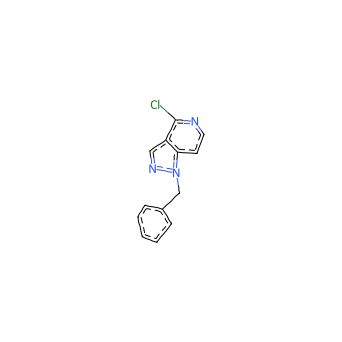 Clc1nccc2c1cnn2Cc1ccccc1